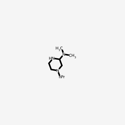 CCCN1CCNC(N(C)C)C1